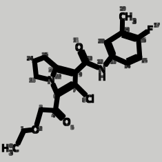 CCOCC(=O)c1c(Cl)c(C(=O)Nc2ccc(F)c(C)c2)c2n1CCC2